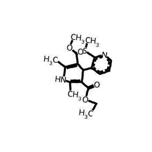 CCOC(=O)C1=C(C)NC(C)=C(C(=O)OC)C1c1cccnc1SC